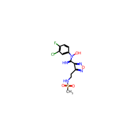 CS(=O)(=O)NCCc1nonc1C(=N)N(O)c1ccc(F)c(Cl)c1